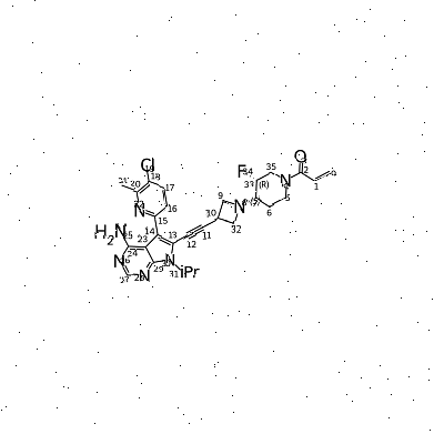 C=CC(=O)N1CC[C@H](N2CC(C#Cc3c(-c4ccc(Cl)c(C)n4)c4c(N)ncnc4n3C(C)C)C2)[C@H](F)C1